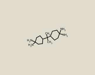 CC(C)(C1CCC(N)(N)CC1)C1CCC(N)(N)CC1